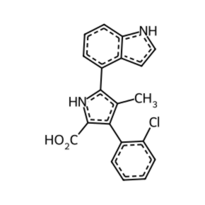 Cc1c(-c2cccc3[nH]ccc23)[nH]c(C(=O)O)c1-c1ccccc1Cl